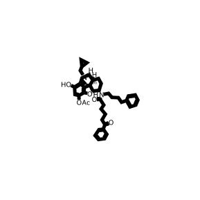 CC(=O)Oc1cc(O)c2c3c1O[C@H]1[C@@H](N(CCCCc4ccccc4)C(=O)CCCCC(=O)c4ccccc4)CC[C@H]4[C@@H](C2)N(CC2CC2)CC[C@@]341